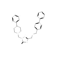 O=c1[nH]c(COCc2ccc(-c3ccccc3)cc2)nn1CN1CCC(c2ccccc2)CC1